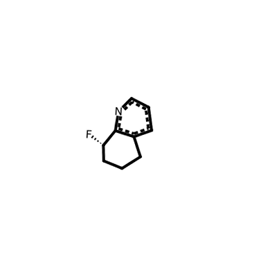 F[C@H]1CCCc2cccnc21